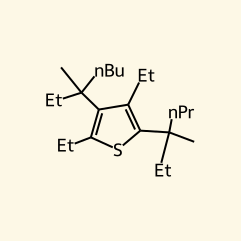 CCCCC(C)(CC)c1c(CC)sc(C(C)(CC)CCC)c1CC